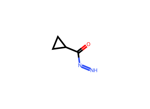 N=NC(=O)C1CC1